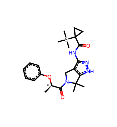 C[C@@H](Oc1ccccc1)C(=O)N1Cc2c(NC(=O)C3([Si](C)(C)C)CC3)n[nH]c2C1(C)C